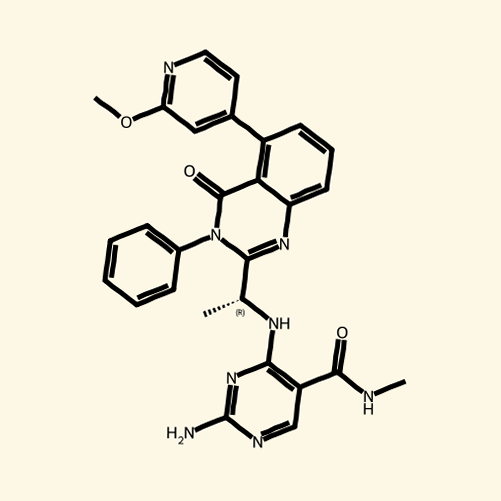 CNC(=O)c1cnc(N)nc1N[C@H](C)c1nc2cccc(-c3ccnc(OC)c3)c2c(=O)n1-c1ccccc1